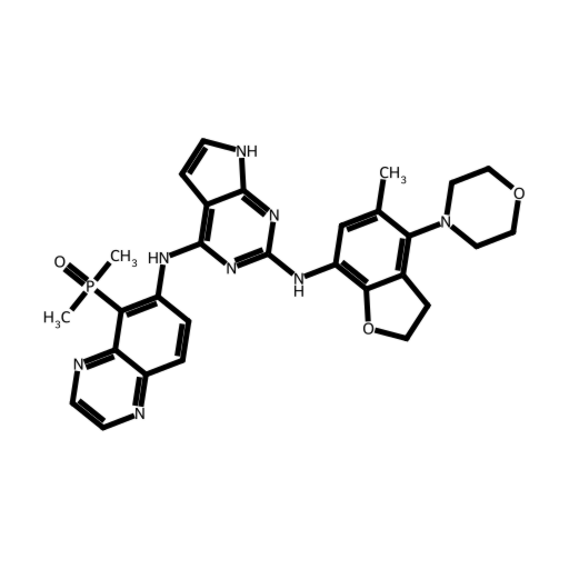 Cc1cc(Nc2nc(Nc3ccc4nccnc4c3P(C)(C)=O)c3cc[nH]c3n2)c2c(c1N1CCOCC1)CCO2